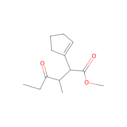 CCC(=O)C(C)C(C(=O)OC)C1=CCCC1